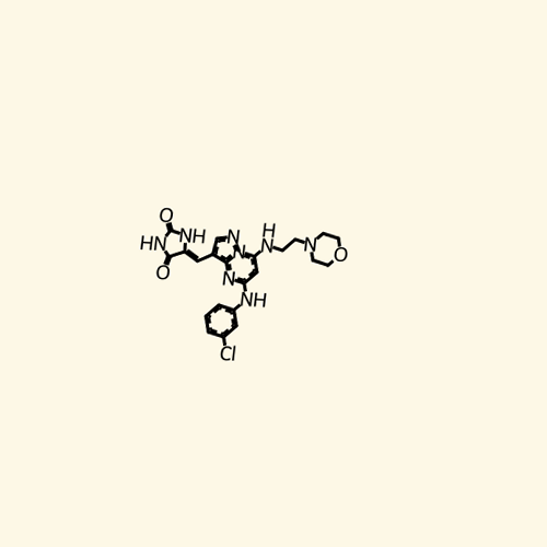 O=C1NC(=O)C(=Cc2cnn3c(NCCN4CCOCC4)cc(Nc4cccc(Cl)c4)nc23)N1